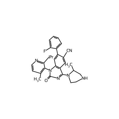 Cc1ccnc(C(C)C)c1-n1c(=O)nc(N2CCNCC2C)c2cc(C#N)c(-c3ccccc3F)cc21